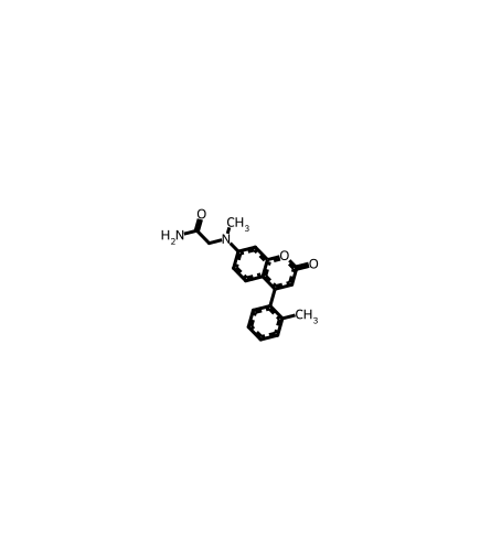 Cc1ccccc1-c1cc(=O)oc2cc(N(C)CC(N)=O)ccc12